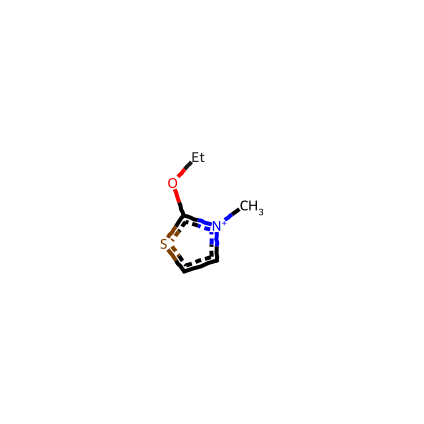 CCOc1scc[n+]1C